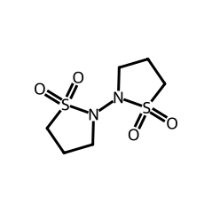 O=S1(=O)CCCN1N1CCCS1(=O)=O